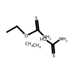 C.C.CCOC(N)=S.NC(O)=S